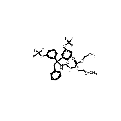 CCOC(=O)[C@H](CCSC)NC(=O)NC(Cc1ccccc1)(c1cccc(OC(F)(F)F)c1)c1cccc(OC(F)(F)F)c1